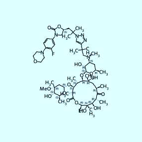 CC[C@H]1OC(=O)[C@H](C)[C@@H](O[C@H]2C[C@@](C)(OC)[C@@H](O)[C@H](C)O2)[C@H](C)[C@@H](O[C@@H]2O[C@H](C)C[C@H](N(C)CC(C)(C)c3cn(C(C)(C)C[C@H]4CN(c5ccc(N6CCOCC6)c(F)c5)C(=O)O4)nn3)[C@H]2O)[C@](C)(O)C[C@@H](C)C(=O)[C@H](C)[C@@H](O)[C@]1(C)O